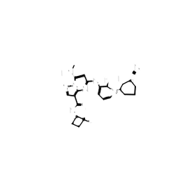 CNc1cc(NC2=CC=CN([C@H]3CCC[C@@H](C#N)C3)C2O)nc2c(C(=O)N[C@H]3CCC3(F)F)cnn12